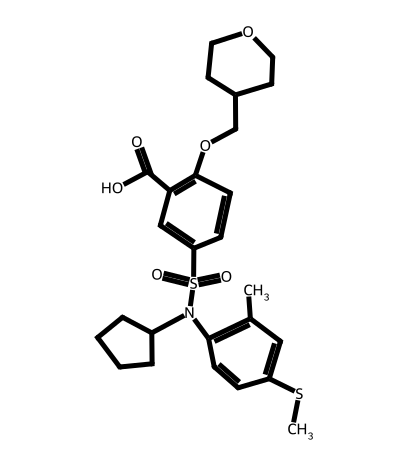 CSc1ccc(N(C2CCCC2)S(=O)(=O)c2ccc(OCC3CCOCC3)c(C(=O)O)c2)c(C)c1